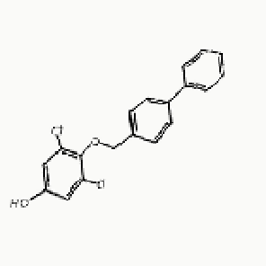 Oc1cc(Cl)c(OCc2ccc(-c3ccccc3)cc2)c(Cl)c1